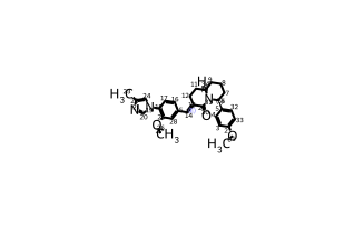 COc1ccc([C@@H]2CCC[C@@H]3CC/C(=C\c4ccc(-n5cnc(C)c5)c(OC)c4)C(=O)N32)cc1